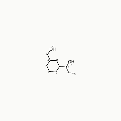 CCC(O)C1CCCC(CO)C1